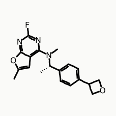 Cc1cc2c(N(C)[C@@H](C)c3ccc(C4COC4)cc3)nc(F)nc2o1